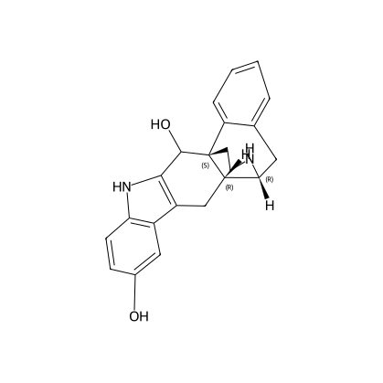 Oc1ccc2[nH]c3c(c2c1)C[C@H]1[C@H]2Cc4ccccc4[C@@]1(CCN2)C3O